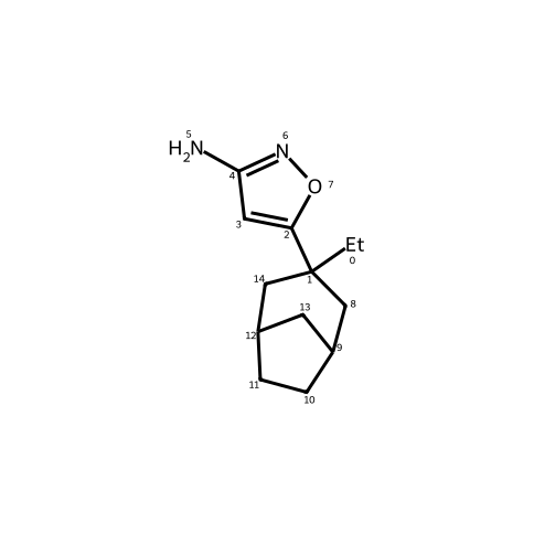 CCC1(c2cc(N)no2)CC2CCC(C2)C1